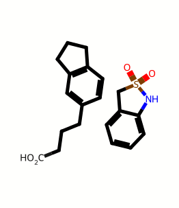 O=C(O)CCCc1ccc2c(c1)CCC2.O=S1(=O)Cc2ccccc2N1